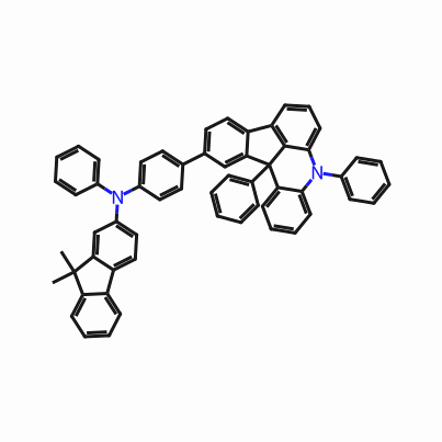 CC1(C)c2ccccc2-c2ccc(N(c3ccccc3)c3ccc(-c4ccc5c(c4)C4(c6ccccc6)c6ccccc6N(c6ccccc6)c6cccc-5c64)cc3)cc21